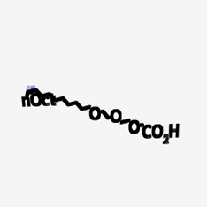 CCCCCCCC/C=C\CCCCCCCCOCCOCCOCC(=O)O